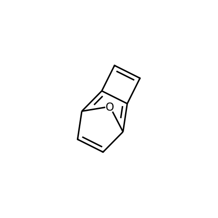 C1=Cc2c1c1ccc2o1